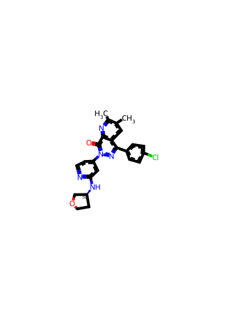 Cc1cc2c(-c3ccc(Cl)cc3)nn(-c3ccnc(N[C@H]4CCOC4)c3)c(=O)c2nc1C